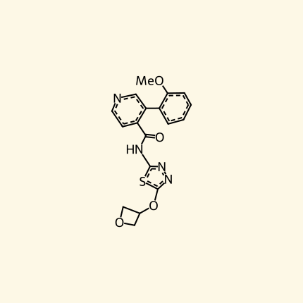 COc1ccccc1-c1cnccc1C(=O)Nc1nnc(OC2COC2)s1